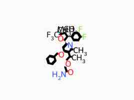 COc1c([C@H]2[C@H](c3cc(OCc4ccccc4)c(C(C)COCC(N)=O)c(C)n3)O[C@@](C)(C(F)(F)F)[C@H]2C)ccc(F)c1F